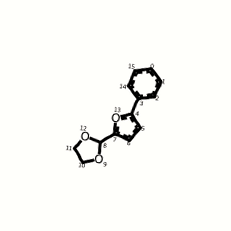 c1ccc(-c2ccc(C3OCCO3)o2)cc1